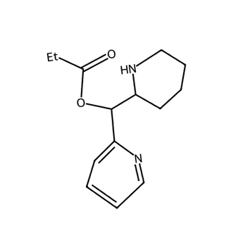 CCC(=O)OC(c1ccccn1)C1CCCCN1